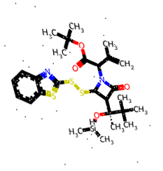 C=C(C)C(C(=O)OC(C)(C)C)N1C(=O)C([C@](C)(O[SiH](C)C)C(C)(C)C)C1SSc1nc2ccccc2s1